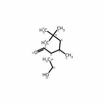 CC(CC=O)CC(C)(C)C.CCO